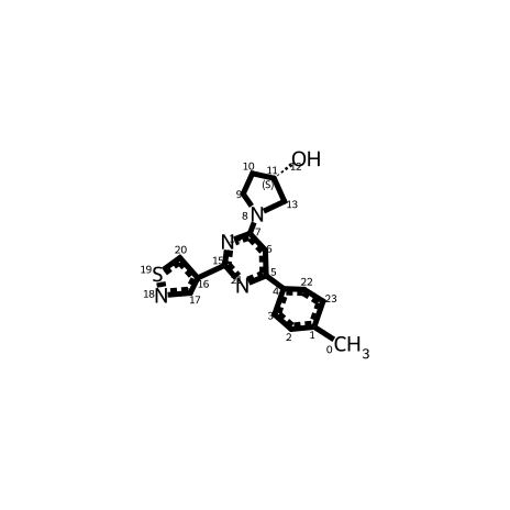 Cc1ccc(-c2cc(N3CC[C@H](O)C3)nc(-c3cnsc3)n2)cc1